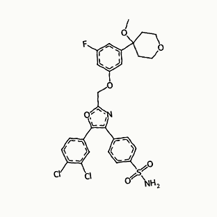 COC1(c2cc(F)cc(OCc3nc(-c4ccc(S(N)(=O)=O)cc4)c(-c4ccc(Cl)c(Cl)c4)o3)c2)CCOCC1